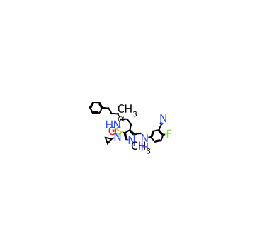 CC(CCc1ccccc1)[C@H]1CCc2c(cn(C)c2CNc2ccc(F)c(C#N)c2)S(=O)(=NC2CC2)N1